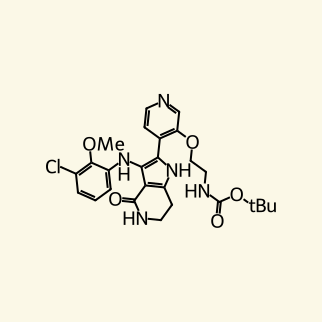 COc1c(Cl)cccc1Nc1c(-c2ccncc2OCCNC(=O)OC(C)(C)C)[nH]c2c1C(=O)NCC2